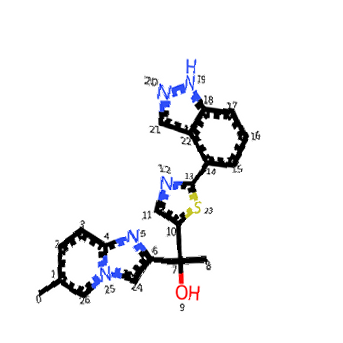 Cc1ccc2nc(C(C)(O)c3cnc(-c4cccc5[nH]ncc45)s3)cn2c1